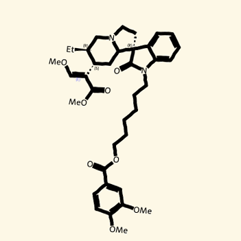 CC[C@H]1CN2CC[C@]3(C(=O)N(CCCCCCOC(=O)c4ccc(OC)c(OC)c4)c4ccccc43)C2C[C@@H]1/C(=C\OC)C(=O)OC